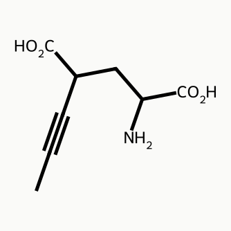 CC#CC(CC(N)C(=O)O)C(=O)O